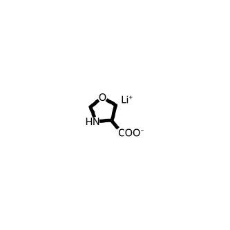 O=C([O-])C1COCN1.[Li+]